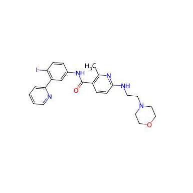 Cc1nc(NCCN2CCOCC2)ccc1C(=O)Nc1ccc(I)c(-c2ccccn2)c1